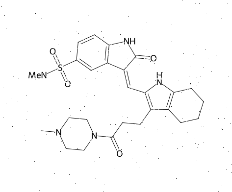 CNS(=O)(=O)c1ccc2c(c1)/C(=C/c1[nH]c3c(c1CCC(=O)N1CCN(C)CC1)CCCC3)C(=O)N2